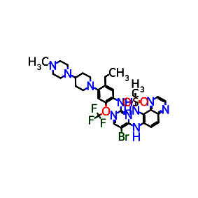 CCc1cc(Nc2ncc(Br)c(Nc3ccc4nccnc4c3NS(C)(=O)=O)n2)c(OC(F)(F)F)cc1N1CCC(N2CCN(C)CC2)CC1